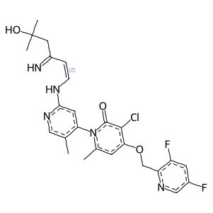 Cc1cnc(N/C=C\C(=N)CC(C)(C)O)cc1-n1c(C)cc(OCc2ncc(F)cc2F)c(Cl)c1=O